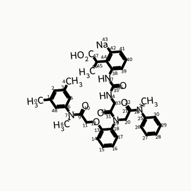 Cc1cc(C)cc(N(C)C(=O)COc2ccccc2N(CC(=O)N(C)c2ccccc2)C(=O)CNC(=O)Nc2ccc[c]([Na])c2C(C)C(=O)O)c1